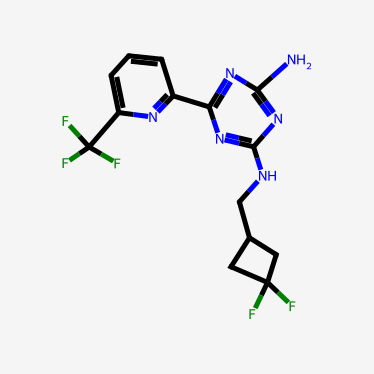 Nc1nc(NCC2CC(F)(F)C2)nc(-c2cccc(C(F)(F)F)n2)n1